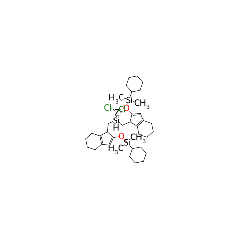 C[Si](C)(OC1=CC2=C(CCCC2)C1C[SiH](CC1C(O[Si](C)(C)C2CCCCC2)=CC2=C1CCCC2)[Zr]([Cl])[Cl])C1CCCCC1